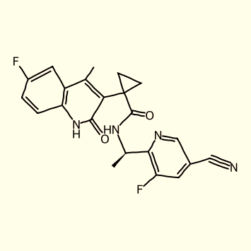 Cc1c(C2(C(=O)N[C@H](C)c3ncc(C#N)cc3F)CC2)c(=O)[nH]c2ccc(F)cc12